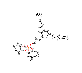 CCCCCc1cc(CCCCC)cc(CCCOP(=O)(Oc2ccccc2)Oc2ccccc2)c1